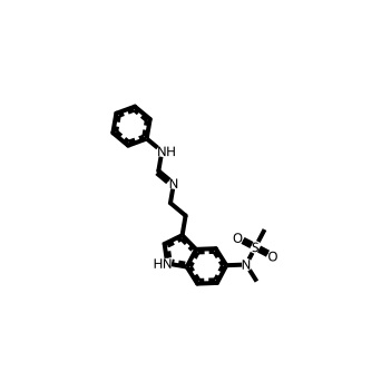 CN(c1ccc2[nH]cc(CCN=CNc3ccccc3)c2c1)S(C)(=O)=O